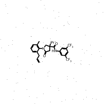 C=CCc1cccc(C)c1N1CC(C(=O)Nc2cc(C(F)(F)F)cc(C(F)(F)F)c2)(C(C)C)CC1=O